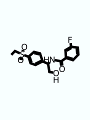 CCS(=O)(=O)c1ccc(C(CO)NC(=O)c2cccc(F)c2)cc1